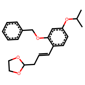 CC(C)Oc1ccc(/C=C/CC2OCCO2)c(OCc2ccccc2)c1